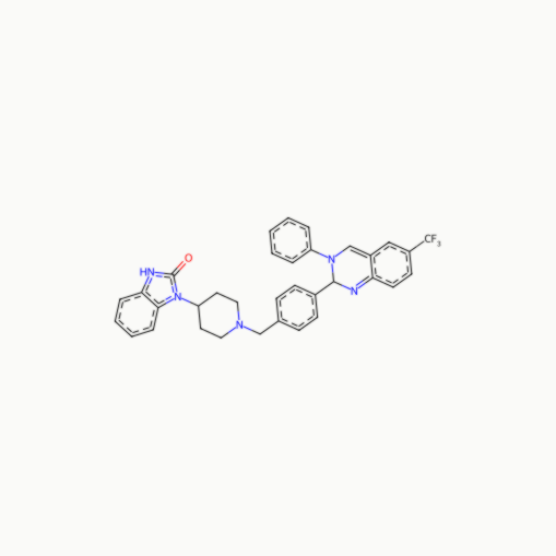 O=c1[nH]c2ccccc2n1C1CCN(Cc2ccc(C3N=c4ccc(C(F)(F)F)cc4=CN3c3ccccc3)cc2)CC1